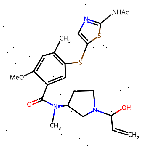 C=CC(O)N1CC[C@H](N(C)C(=O)c2cc(Sc3cnc(NC(C)=O)s3)c(C)cc2OC)C1